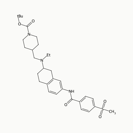 CCN(CC1CCN(C(=O)OC(C)(C)C)CC1)C1CCc2ccc(NC(=O)c3ccc(S(C)(=O)=O)cc3)cc2C1